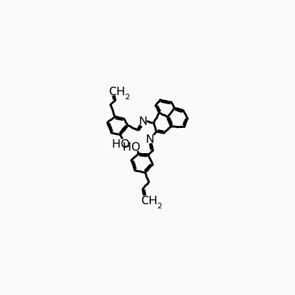 C=CCc1ccc(O)c(C=NC2=Cc3cccc4cccc(c34)C2N=Cc2cc(CC=C)ccc2O)c1